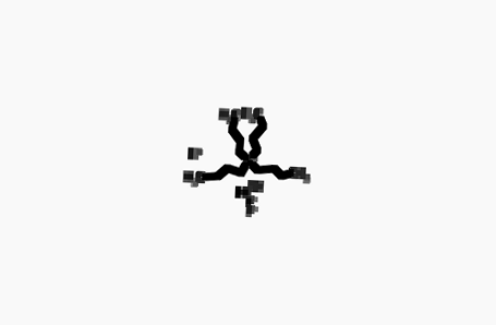 CCCC[N+](CCCC)(CCCC)CCCC.F.F.[F-].[F-].[H+]